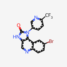 O=c1[nH]c2cnc3ccc(Br)cc3c2n1-c1ccc(C(F)(F)F)nc1